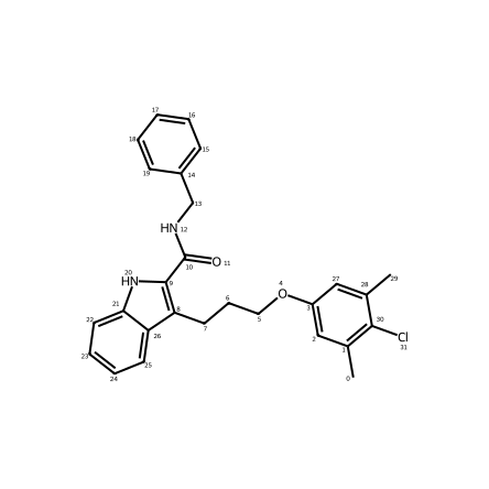 Cc1cc(OCCCc2c(C(=O)NCc3ccccc3)[nH]c3ccccc23)cc(C)c1Cl